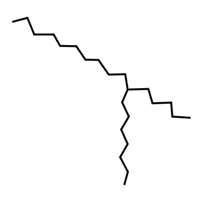 CCCCCCCCCCC(CCCCC)CCCCCCC